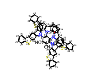 N#Cc1c(C#N)c(-n2c3ccccc3c3cc4c(cc32)sc2ccccc24)c(-n2c3ccccc3c3cc4c(cc32)sc2ccccc24)c(-n2c3ccccc3c3cc4c(cc32)sc2ccccc24)c1-n1c2ccccc2c2cc3c(cc21)sc1ccccc13